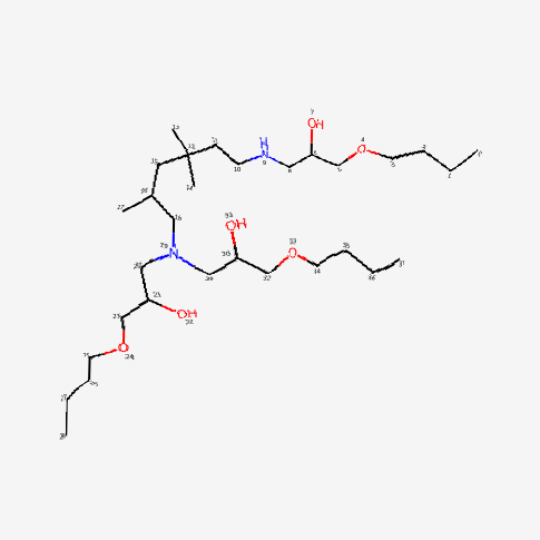 CCCCOCC(O)CNCCC(C)(C)CC(C)CN(CC(O)COCCCC)CC(O)COCCCC